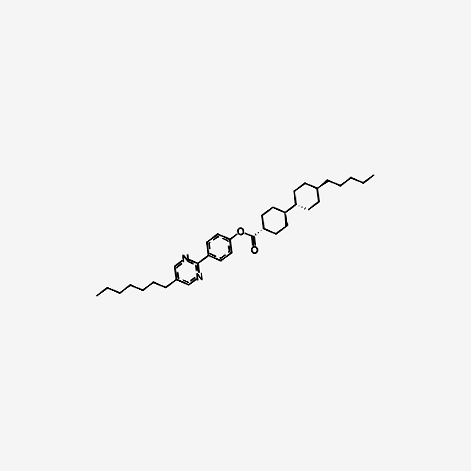 CCCCCCCc1cnc(-c2ccc(OC(=O)[C@H]3CC[C@H]([C@H]4CC[C@H](CCCCC)CC4)CC3)cc2)nc1